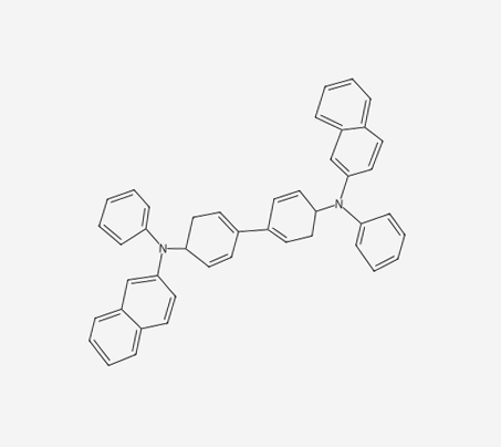 C1=CC(N(c2ccccc2)c2ccc3ccccc3c2)CC=C1C1=CCC(N(c2ccccc2)c2ccc3ccccc3c2)C=C1